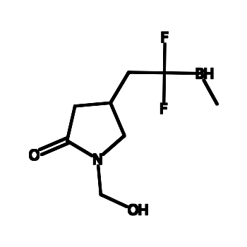 CBC(F)(F)CC1CC(=O)N(CO)C1